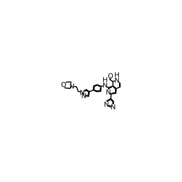 O=CC1NC=Cc2cc(-c3cncnc3)nc(Nc3ccc(-c4cnn(CCN5CCOCC5)c4)cc3)c21